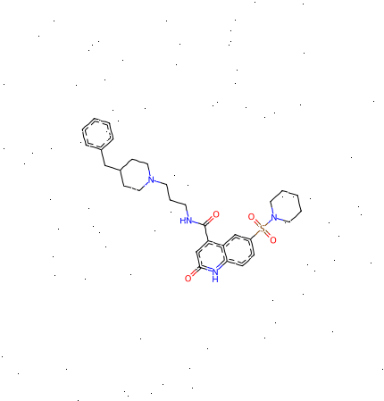 O=C(NCCCN1CCC(Cc2ccccc2)CC1)c1cc(=O)[nH]c2ccc(S(=O)(=O)N3CCCCC3)cc12